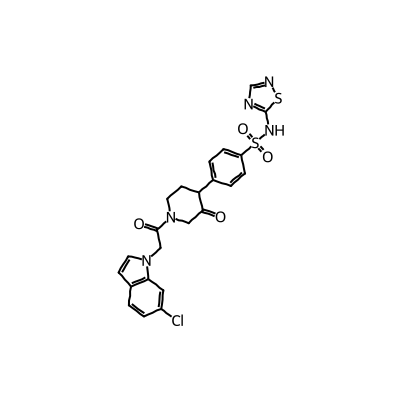 O=C1CN(C(=O)Cn2ccc3ccc(Cl)cc32)CCC1c1ccc(S(=O)(=O)Nc2ncns2)cc1